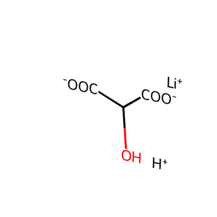 O=C([O-])C(O)C(=O)[O-].[H+].[Li+]